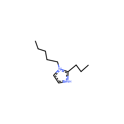 CCCCC[n+]1cc[nH]c1CCC